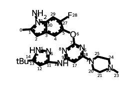 Cc1cc2cc(Oc3nc(Nc4cc(C(C)(C)C)[nH]n4)cc(N4CCN(C)CC4)n3)c(F)cc2n1N